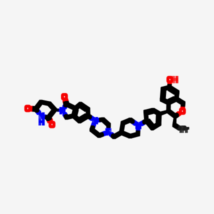 CC(C)C[C@@H]1OCc2cc(O)ccc2[C@@H]1c1ccc(N2CCC(CN3CCN(c4ccc5c(c4)CN([C@H]4CCC(=O)NC4=O)C5=O)CC3)CC2)cc1